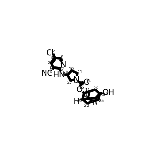 N#Cc1cc(Cl)cnc1NC1CCN(C(=O)OC2C3CC4C[C@@H]2CC(O)(C4)C3)C1